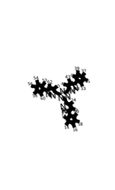 Cc1c(-c2nc(-c3nnc(-c4c(C)c(C)c(C)c(C)c4C)c(C)c3C)nc(-c3nnc(-c4c(C)c(C)c(C)c(C)c4C)c(C)c3C)n2)nnc(-c2c(C)c(C)c(C)c(C)c2C)c1C